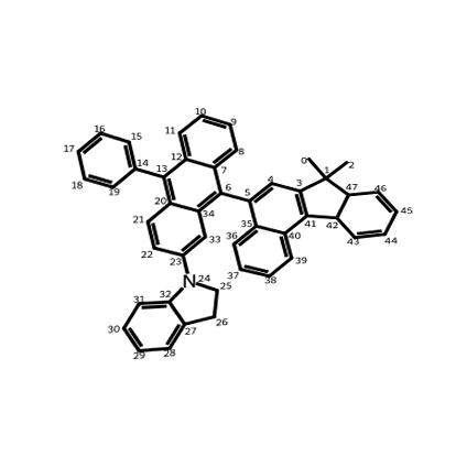 CC1(C)c2cc(-c3c4ccccc4c(-c4ccccc4)c4ccc(N5CCc6ccccc65)cc34)c3ccccc3c2C2C=CC=CC21